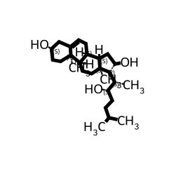 CC(C)CC[C@H](O)[C@@H](C)[C@H]1C(O)C[C@H]2[C@@H]3CC=C4C[C@@H](O)CC[C@]4(C)[C@H]3CC[C@]12C